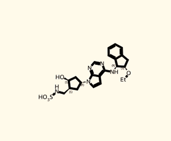 CCO[C@H]1Cc2ccccc2[C@H]1Nc1ncnc2c1ccn2[C@@H]1C[C@@H](CNS(=O)(=O)O)[C@@H](O)C1